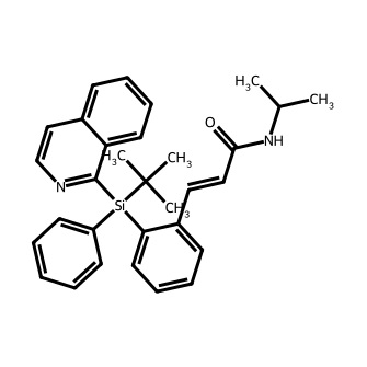 CC(C)NC(=O)/C=C/c1ccccc1[Si](c1ccccc1)(c1nccc2ccccc12)C(C)(C)C